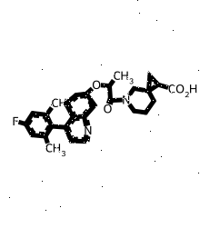 Cc1cc(F)cc(C)c1-c1ccnc2cc(OC(C)C(=O)N3CCCC4(CC4C(=O)O)C3)ccc12